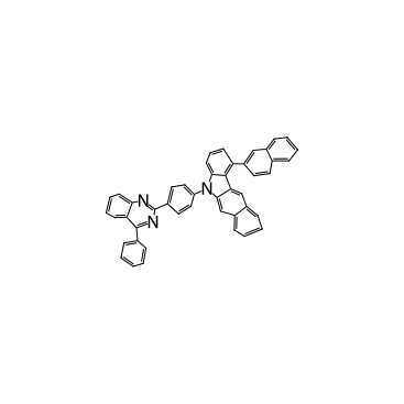 c1ccc(-c2nc(-c3ccc(-n4c5cc6ccccc6cc5c5c(-c6ccc7ccccc7c6)cccc54)cc3)nc3ccccc23)cc1